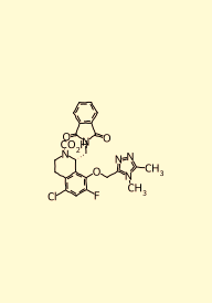 Cc1nnc(COc2c(F)cc(Cl)c3c2[C@@H](CN2C(=O)c4ccccc4C2=O)N(C(=O)O)CC3)n1C